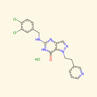 Cl.O=c1[nH]c(NCc2ccc(Cl)c(Cl)c2)nc2cnn(CCc3cccnc3)c12